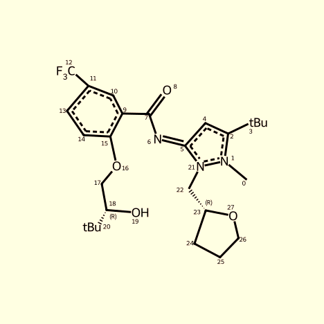 Cn1c(C(C)(C)C)cc(=NC(=O)c2cc(C(F)(F)F)ccc2OC[C@H](O)C(C)(C)C)n1C[C@H]1CCCO1